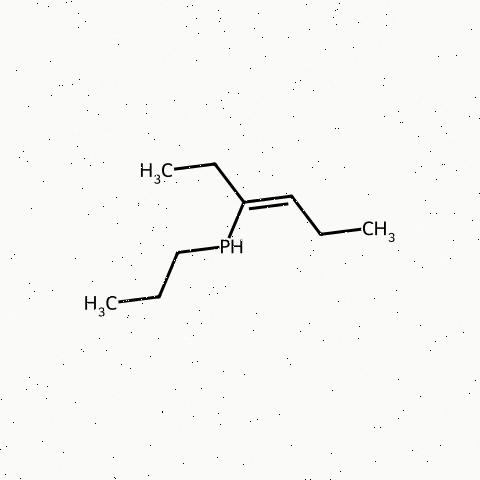 CCC=C(CC)PCCC